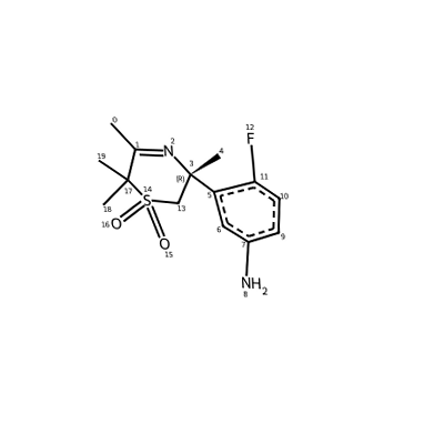 CC1=N[C@](C)(c2cc(N)ccc2F)CS(=O)(=O)C1(C)C